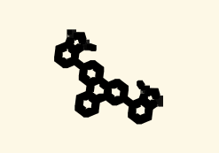 Cn1cnc2cccc(-c3ccc4c5ccc(-c6cccc7ncn(C)c67)cc5c5ccccc5c4c3)c21